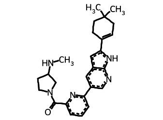 CNC1CCN(C(=O)c2cccc(-c3cnc4[nH]c(C5=CCC(C)(C)CC5)cc4c3)n2)C1